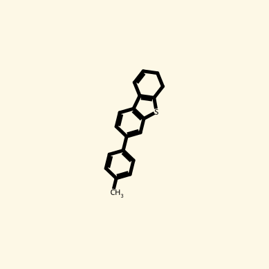 Cc1ccc(-c2ccc3c4c(sc3c2)CCC=C4)cc1